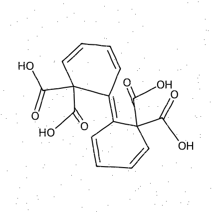 O=C(O)C1(C(=O)O)C=CC=CC1=C1C=CC=CC1(C(=O)O)C(=O)O